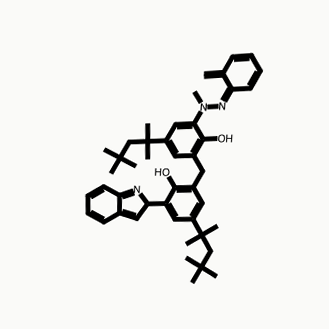 C=C1C=CC=C/C1=N/N(C)c1cc(C(C)(C)CC(C)(C)C)cc(Cc2cc(C(C)(C)CC(C)(C)C)cc(C3C=c4ccccc4=N3)c2O)c1O